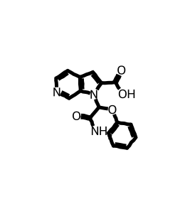 NC(=O)C(Oc1ccccc1)n1c(C(=O)O)cc2ccncc21